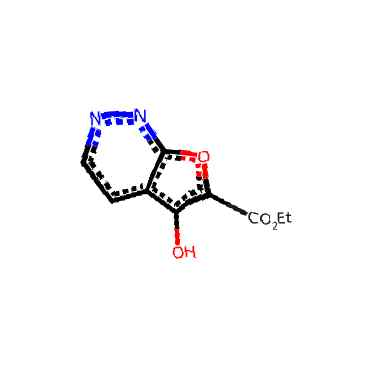 CCOC(=O)c1oc2nnccc2c1O